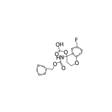 O=C(O)OC1(NC(=O)OCc2ccccc2)CCOc2ccc(F)cc21